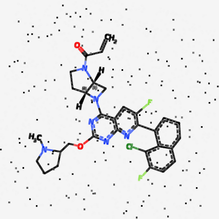 C=CC(=O)N1CC[C@@H]2[C@H]1CN2c1nc(OCC2CCCN2C)nc2nc(-c3cccc4ccc(F)c(Cl)c34)c(F)cc12